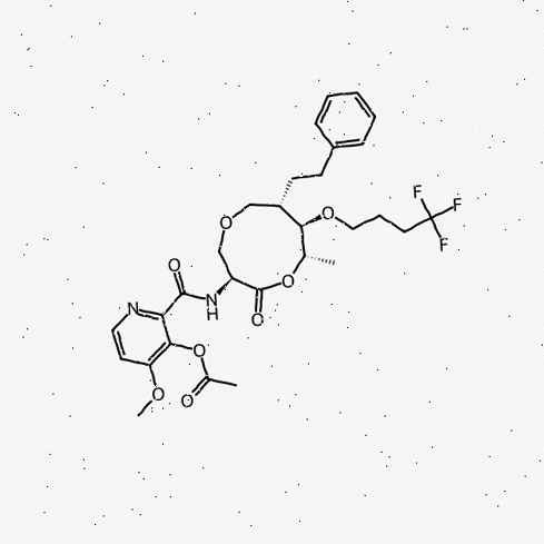 COc1ccnc(C(=O)N[C@H]2COC[C@H](CCc3ccccc3)[C@@H](OCCCC(F)(F)F)[C@H](C)OC2=O)c1OC(C)=O